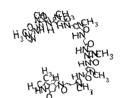 Cc1[nH]c2c(c1C)[C@@]13C[C@@H]1CN(C(=O)/C=C/c1cc(NC(=O)c4cc(NC(=O)c5nc(NC(=O)CCNC(=O)c6cc(NC(=O)c7cc(NC(=O)c8nc(NC(=O)c9nccn9C)cn8C)cn7C)cn6C)cn5C)cn4C)cn1C)C3=CC2=O